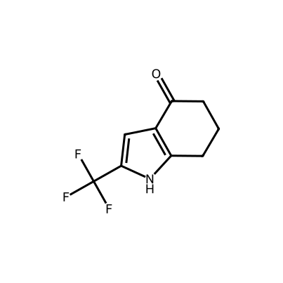 O=C1CCCc2[nH]c(C(F)(F)F)cc21